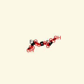 CCC(C)(CC(C)(C)C(=O)OCOC1CCC(OCOC(=O)C(C)(CC)CC(C)(C)C(=O)OCCO)CC1)C(=O)OCCO